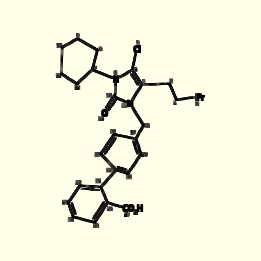 CC(C)CCc1c(Cl)n(C2CCCCC2)c(=O)n1Cc1ccc(-c2ccccc2C(=O)O)cc1